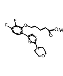 COC(=O)CCCCOc1c(-c2csc(N3CCOCC3)n2)ccc(F)c1F